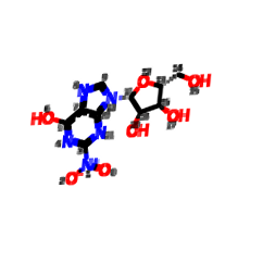 O=[N+]([O-])c1nc(O)c2ncn([C@@H]3O[C@H](CO)[C@@H](O)[C@H]3O)c2n1